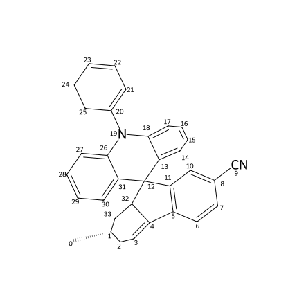 C[C@H]1CC=C2c3ccc(C#N)cc3C3(c4ccccc4N(C4=CC=CCC4)c4ccccc43)C2C1